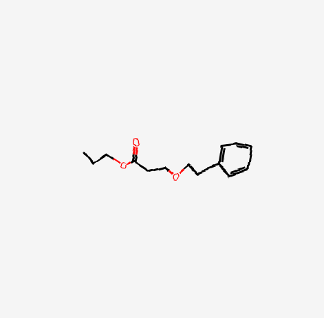 CCCOC(=O)CCOCCc1ccccc1